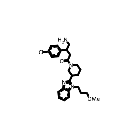 COCCCn1c(C2CCCN(C(=O)CC(CN)c3ccc(Cl)cc3)C2)nc2ccccc21